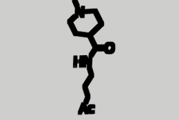 CC(=O)CCCNC(=O)C1CCN(C)CC1